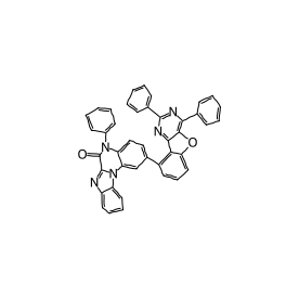 O=c1c2nc3ccccc3n2c2cc(-c3cccc4oc5c(-c6ccccc6)nc(-c6ccccc6)nc5c34)ccc2n1-c1ccccc1